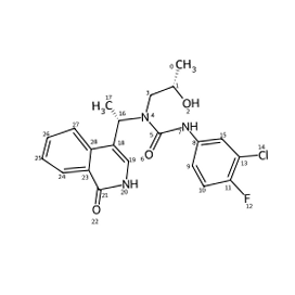 C[C@H](O)CN(C(=O)Nc1ccc(F)c(Cl)c1)[C@@H](C)c1c[nH]c(=O)c2ccccc12